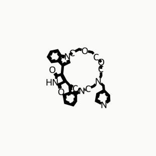 O=C1NC(=O)C2=C1c1cn(c3ccccc13)CCOCCOCCN(Cc1ccncc1)CCn1cc2c2ccccc21